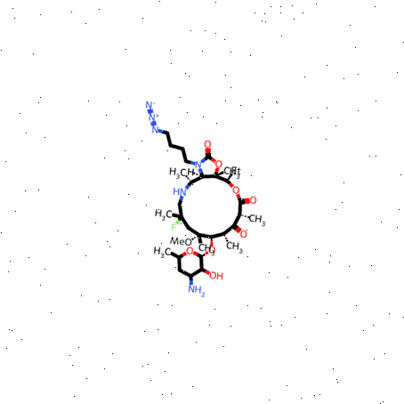 CC[C@H]1OC(=O)[C@H](C)C(=O)[C@H](C)[C@@H](O[C@@H]2OC(C)CC(N)C2O)[C@](C)(OC)CC(C)(F)CN[C@H](C)[C@H]2N(CCCCN=[N+]=[N-])C(=O)O[C@]12C